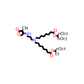 CCCCCCCCC(CC)OC(=O)CCCCCCCN(CCCCCCCC(=O)OC(CCCCCCCC)CCCCCCCC)CCCNC1=C(C#N)C(=O)OC1